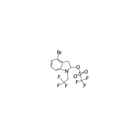 O=S(=O)(OC1Cc2c(Br)cccc2N1CC(F)(F)F)C(F)(F)F